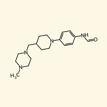 CN1CCN(CC2CCN(c3ccc(NC=O)cc3)CC2)CC1